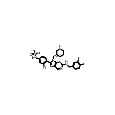 CS(=O)(=O)Nc1ccc(-c2nc3cnc(NCc4ccc(F)c(F)c4)nc3n2C[C@@H]2CCCNC2)c(Cl)c1